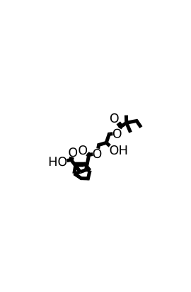 CCC(C)(C)C(=O)OCC(O)COC(=O)C1C2C=CC(CC2)C1C(=O)O